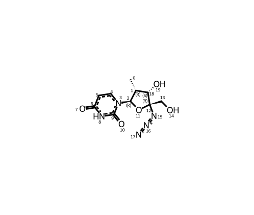 C[C@H]1[C@H](n2ccc(=O)[nH]c2=O)O[C@@](CO)(N=[N+]=[N-])[C@H]1O